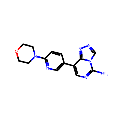 Nc1ncc(-c2ccc(N3CCOCC3)nc2)c2nncn12